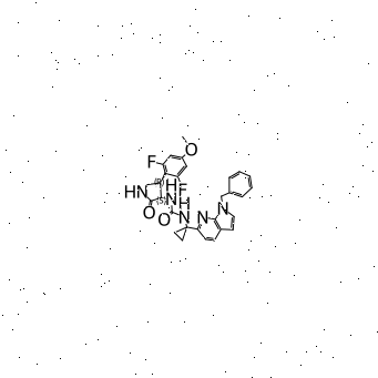 COc1cc(F)c([C@@H]2CNC(=O)[C@H]2NC(=O)NC2(c3ccc4ccn(Cc5ccccc5)c4n3)CC2)c(F)c1